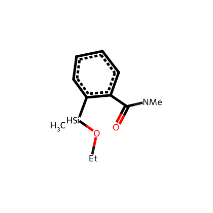 CCO[SiH](C)c1ccccc1C(=O)NC